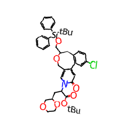 CC(C)(C)OC(=O)C(C[C@@H]1COCCO1)n1cc2c(cc1=O)-c1cc(Cl)ccc1CC(CO[Si](c1ccccc1)(c1ccccc1)C(C)(C)C)OC2